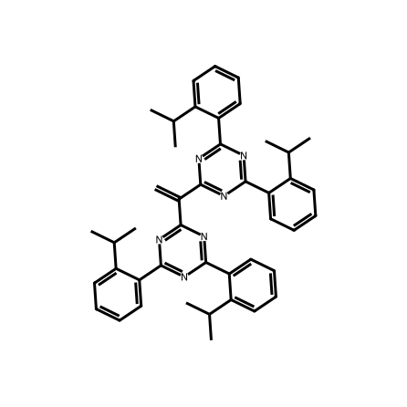 C=C(c1nc(-c2ccccc2C(C)C)nc(-c2ccccc2C(C)C)n1)c1nc(-c2ccccc2C(C)C)nc(-c2ccccc2C(C)C)n1